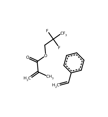 C=C(C)C(=O)OCC(F)(F)C(F)(F)F.C=Cc1ccccc1